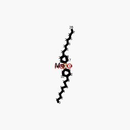 CCCCCCCCCc1ccc(P(=O)(O)c2ccc(CCCCCCCCC)cc2)cc1.[Mo]